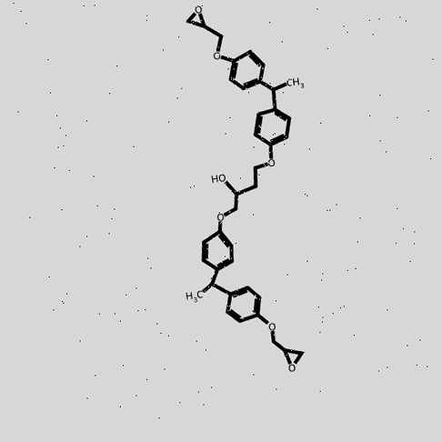 CC(c1ccc(OCCC(O)COc2ccc(C(C)c3ccc(OCC4CO4)cc3)cc2)cc1)c1ccc(OCC2CO2)cc1